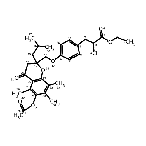 CCOC(=O)C(Cl)Cc1ccc(OCC2(CC(C)C)CC(=O)c3c(C)c(OC(C)=O)c(C)c(C)c3O2)cc1